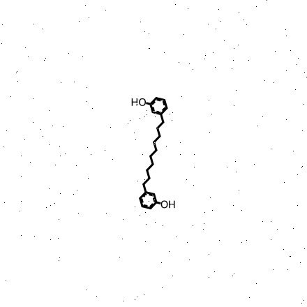 Oc1cccc(CCCCCCCCCCc2cccc(O)c2)c1